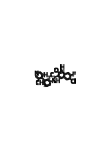 Cc1cnccc1-c1cccc(NC(C)c2cc3cc(Cl)c(F)cc3[nH]c2=O)c1